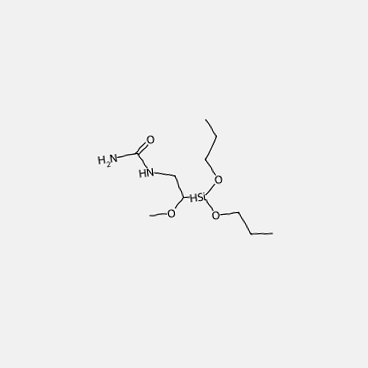 CCCO[SiH](OCCC)C(CNC(N)=O)OC